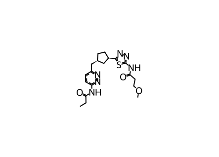 CCC(=O)Nc1ccc(C[C@H]2CC[C@@H](c3nnc(NC(=O)CCOC)s3)C2)nn1